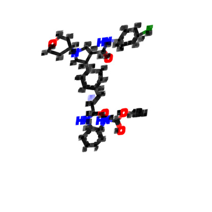 CC(C)(C)OC(=O)Nc1ccccc1NC(=O)/C=C/c1ccc(C2CN(C3CCOCC3)CC2C(=O)Nc2ccc(F)cc2)cc1